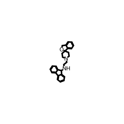 c1ccc2c(c1)COC21CCN(CCNC2c3ccccc3-c3ccccc32)CC1